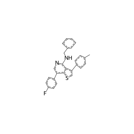 Cc1ccc(-c2csc3c(-c4ccc(F)cc4)cnc(NCc4ccccc4)c23)cc1